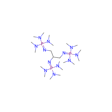 CN(C)P(=NCC(CN=P(N(C)C)(N(C)C)N(C)C)N=P(N(C)C)(N(C)C)N(C)C)(N(C)C)N(C)C